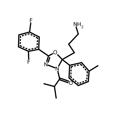 Cc1cccc(C2(CCCN)OC(c3cc(F)ccc3F)=NN2C(=O)C(C)C)c1